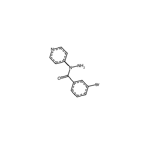 NN(C(=O)c1cccc(Br)c1)c1ccncc1